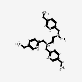 CCc1ccc(CN(C)/C=C/N(Cc2ccc(CC)cn2)Cc2ccc(CC)cn2)nc1